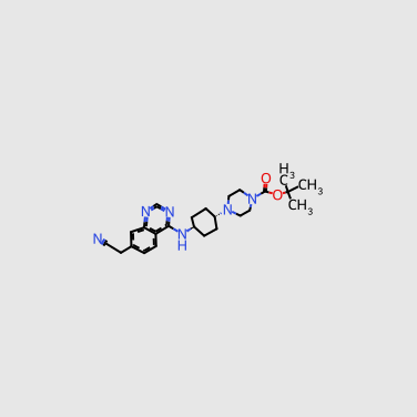 CC(C)(C)OC(=O)N1CCN([C@H]2CC[C@H](Nc3ncnc4cc(CC#N)ccc34)CC2)CC1